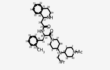 CC(=O)N1CCC(N(CC(C)C)C2CCN(C(=O)[C@@H](Cc3ccccc3C)NC(=O)CC3NCCc4ccccc43)CC2)CC1